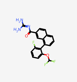 NC(N)=NC(=O)c1ccc2cccc(-c3c(F)cccc3OC(F)F)c2c1